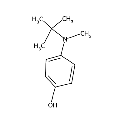 CN(c1ccc(O)cc1)C(C)(C)C